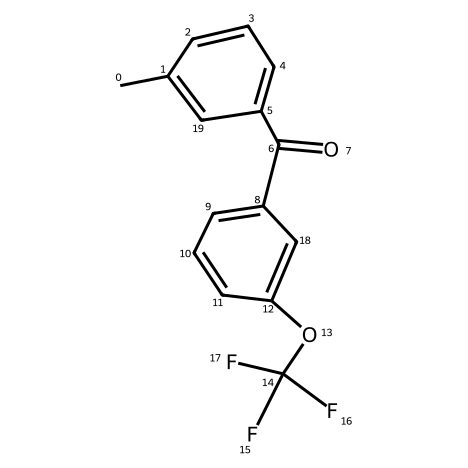 Cc1cccc(C(=O)c2cccc(OC(F)(F)F)c2)c1